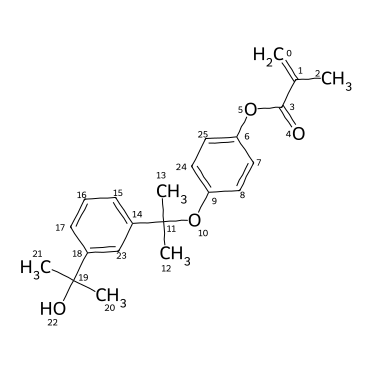 C=C(C)C(=O)Oc1ccc(OC(C)(C)c2cccc(C(C)(C)O)c2)cc1